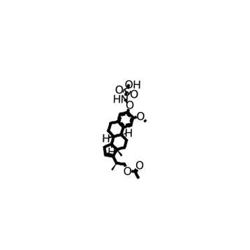 COc1cc2c(cc1ONS(=O)(=O)O)CC[C@@H]1[C@@H]2CC[C@]2(C)C([C@H](C)COC(C)=O)=CC[C@@H]12